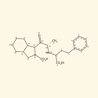 CCOC(=O)C(CCc1ccccc1)N[C@@H](C)C(=O)C1C2CCOCC2CN1C(=O)O